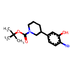 CC(C)(C)OC(=O)N1CCCC(c2ccc(N)c(O)c2)C1